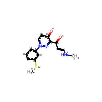 CNC=CC(=O)c1nn(-c2cccc(SC)c2)ccc1=O